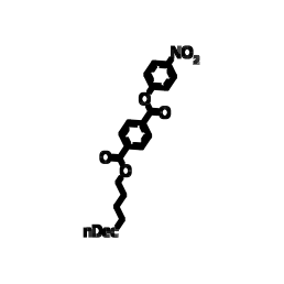 CCCCCCCCCCCCCCOC(=O)c1ccc(C(=O)Oc2ccc([N+](=O)[O-])cc2)cc1